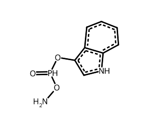 NO[PH](=O)Oc1c[nH]c2ccccc12